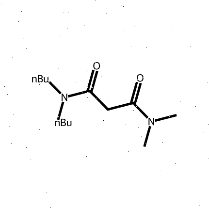 CCCCN(CCCC)C(=O)CC(=O)N(C)C